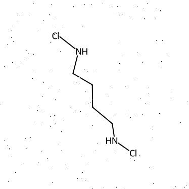 ClNCCCCNCl